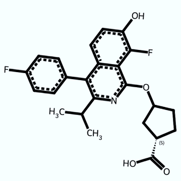 CC(C)c1nc(OC2CC[C@H](C(=O)O)C2)c2c(F)c(O)ccc2c1-c1ccc(F)cc1